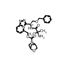 CC(C)(N)C(=O)N[C@H](COCc1ccccc1)c1nnc2cccc(COC(=O)N3CC4CC3CO4)n12